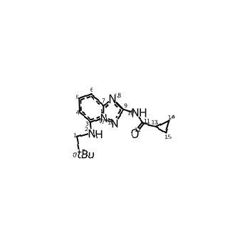 CC(C)(C)CNc1cccc2nc(NC(=O)C3CC3)nn12